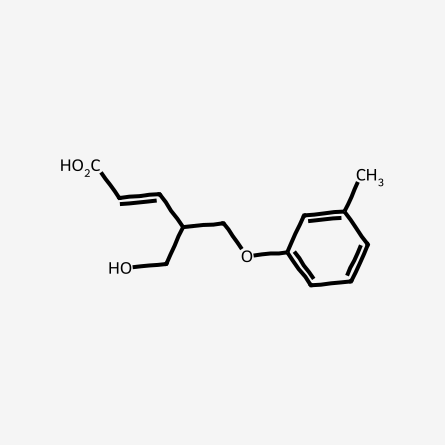 Cc1cccc(OCC(C=CC(=O)O)CO)c1